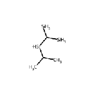 CC(C)[SiH]C([SiH3])[SiH3]